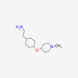 CN1CCC(OC2CCC(CCN)CC2)CC1